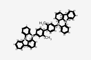 Cc1cc(N2c3ccccc3-n3c4ccccc4c4cccc2c43)ccc1-c1ccc(N2c3ccccc3-n3c4c(c5ccccc53)C=CCC42)cc1C